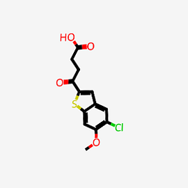 COc1cc2sc(C(=O)CCC(=O)O)cc2cc1Cl